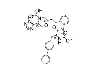 COC(=O)N[C@@H](Cc1ccc(-c2ccccc2)cc1)C(=O)Nc1ccccc1CC[C@@H]1CN(C(=O)O)[C@H](c2nnn[nH]2)CO1